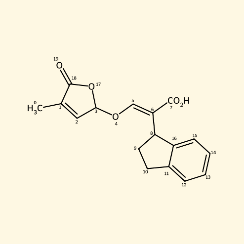 CC1=CC(O/C=C(/C(=O)O)C2CCc3ccccc32)OC1=O